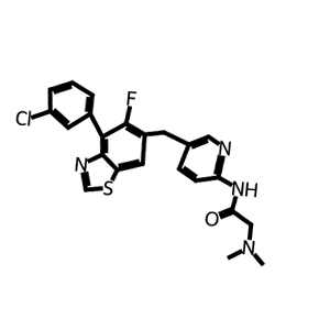 CN(C)CC(=O)Nc1ccc(Cc2cc3scnc3c(-c3cccc(Cl)c3)c2F)cn1